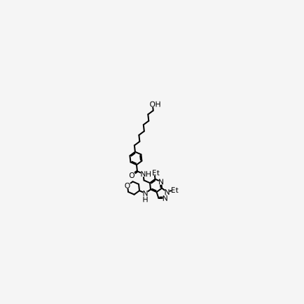 CCc1nc2c(cnn2CC)c(NC2CCOCC2)c1CNC(=O)c1ccc(CCCCCCCCO)cc1